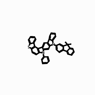 CC1(C)c2ccccc2-c2ccc(-n3c4ccccc4c4cc5c6c7c(ccc6n(-c6ccccc6)c5cc43)sc3ccccc37)cc21